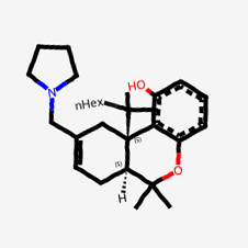 CCCCCCC(C)(C)[C@]12CC(CN3CCCC3)=CC[C@@H]1C(C)(C)Oc1cccc(O)c12